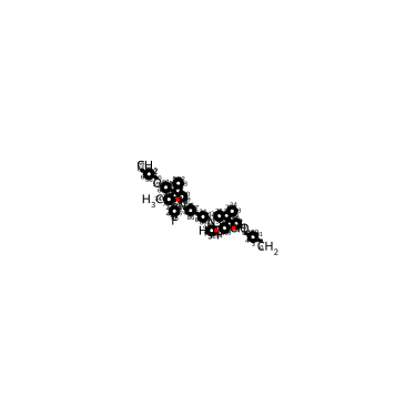 C=Cc1ccc(COc2ccc(C3(c4cc(C)ccc4C)c4ccccc4-c4ccc(N(c5ccc(-c6ccc(N(c7cccc(F)c7)c7ccc8c(c7)C(c7ccc(OCc9ccc(C=C)cc9)cc7)(c7cc(C)ccc7C)c7ccccc7-8)cc6)cc5)c5cccc(F)c5)cc43)cc2)cc1